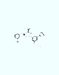 CC(=N)C(C(=O)Nc1cc(C)cc(-c2ncco2)c1)C(=O)Nc1cccc(C(C)(F)F)c1